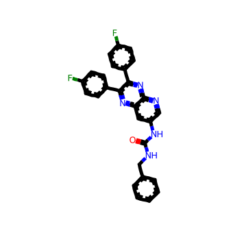 O=C(NCc1ccccc1)Nc1cnc2nc(-c3ccc(F)cc3)c(-c3ccc(F)cc3)nc2c1